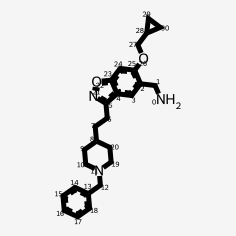 NCc1cc2c(CCC3CCN(Cc4ccccc4)CC3)noc2cc1OCC1CC1